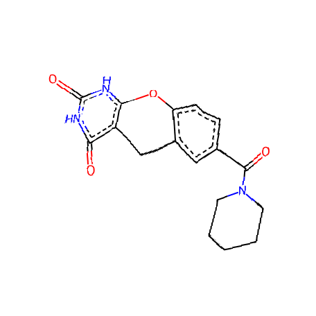 O=C(c1ccc2c(c1)Cc1c([nH]c(=O)[nH]c1=O)O2)N1CCCCC1